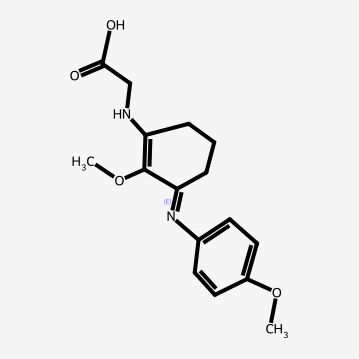 COC1=C(NCC(=O)O)CCC/C1=N\c1ccc(OC)cc1